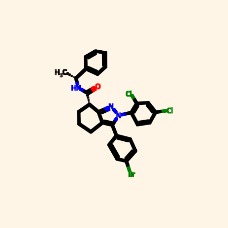 C[C@@H](NC(=O)[C@H]1CCCc2c1nn(-c1ccc(Cl)cc1Cl)c2-c1ccc(Br)cc1)c1ccccc1